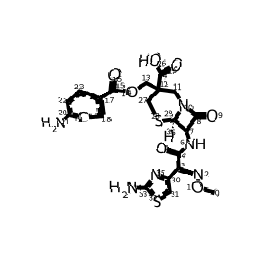 CON=C(C(=O)NC1C(=O)N2CC(COC(=O)c3ccc(N)cc3)(C(=O)O)CS[C@H]12)c1csc(N)n1